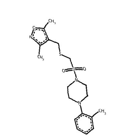 Cc1ccccc1N1CCN(S(=O)(=O)CSCc2c(C)noc2C)CC1